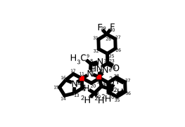 [2H]C([2H])([2H])C(c1nnc(C)n1C1CC2CCC(C1)N2CCC(NC(=O)C1CCC(F)(F)CC1)c1ccccc1)C([2H])([2H])[2H]